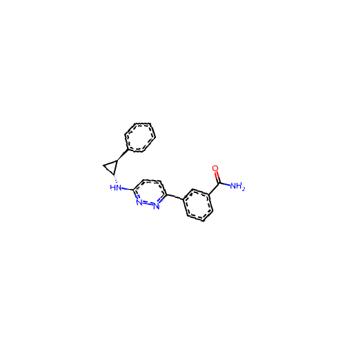 NC(=O)c1cccc(-c2ccc(N[C@@H]3C[C@H]3c3ccccc3)nn2)c1